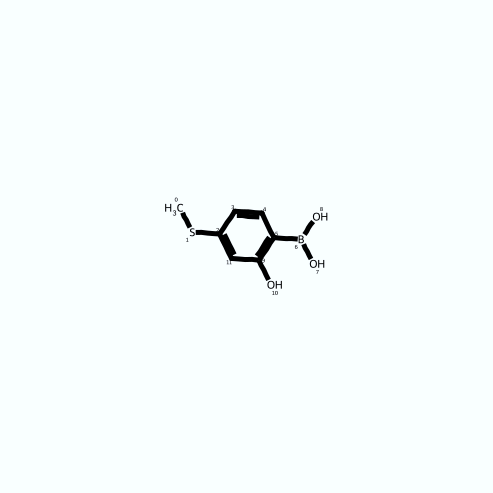 CSc1ccc(B(O)O)c(O)c1